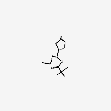 CCC[C@H](OC(=O)C(C)(C)C)[C@H]1CCNC1